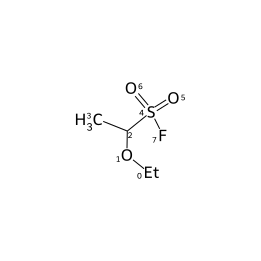 CCOC(C)S(=O)(=O)F